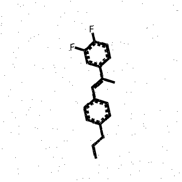 CCCc1ccc(/C=C(\C)c2ccc(F)c(F)c2)cc1